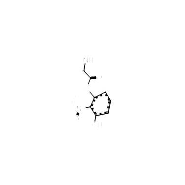 NCC(=O)Oc1cccc(O)c1[N+](=O)[O-]